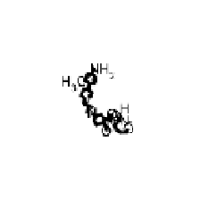 C[C@@H]1CC(N)CCC1C1CCN(CC2CN(C3CCC4C(=O)N(C5CCCOCNC5=O)C(=O)C4C3)C2)CC1